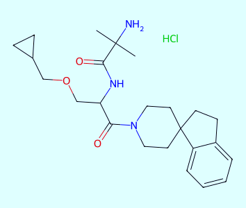 CC(C)(N)C(=O)NC(COCC1CC1)C(=O)N1CCC2(CCc3ccccc32)CC1.Cl